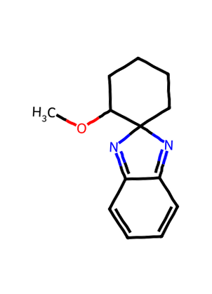 COC1CCCCC12N=c1ccccc1=N2